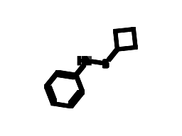 c1ccc(NSC2CCC2)cc1